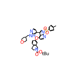 Cc1ccc(S(=O)(=O)n2cc(-c3ccnc(NCC4CCOCC4)c3)c3c(Oc4ccc5c(c4)CN(C(=O)OC(C)(C)C)CC5)ccnc32)cc1